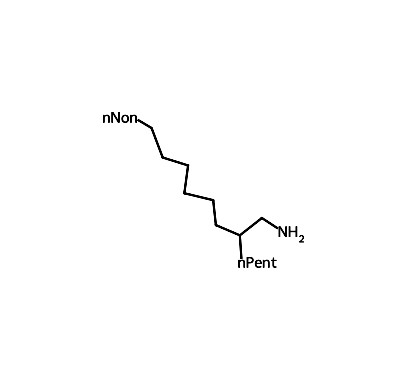 CCCCCCCCCCCCCCCC(CN)CCCCC